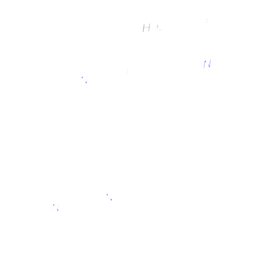 Cc1cccnc1COc1cc(-c2cncnc2)c2c(n1)CCCC2